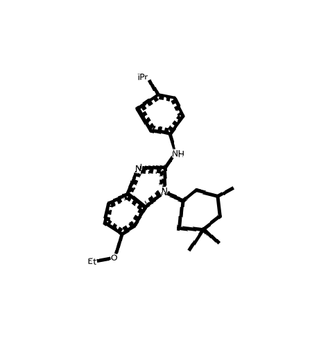 CCOc1ccc2nc(Nc3ccc(C(C)C)cc3)n(C3CC(C)CC(C)(C)C3)c2c1